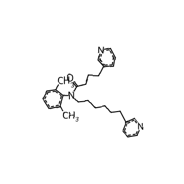 Cc1cccc(C)c1N(CCCCCCc1cccnc1)C(=O)CCCc1cccnc1